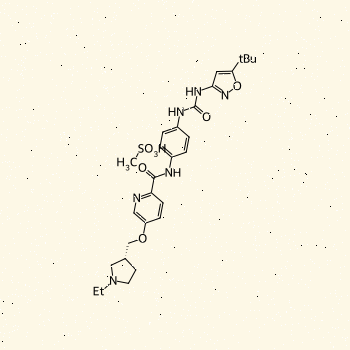 CCN1CC[C@@H](COc2ccc(C(=O)Nc3ccc(NC(=O)Nc4cc(C(C)(C)C)on4)cc3)nc2)C1.CS(=O)(=O)O